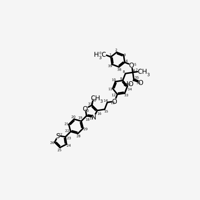 Cc1ccc(OC(C)(Cc2ccc(OCCc3nc(-c4ccc(-c5cccs5)cc4)oc3C)cc2)C(=O)O)cc1